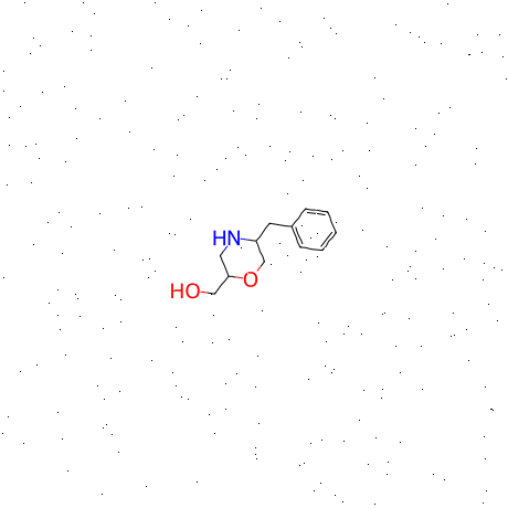 OCC1CNC(Cc2ccccc2)CO1